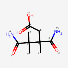 CC(C)(C(N)=O)C(C)(CC(=O)O)C(N)=O